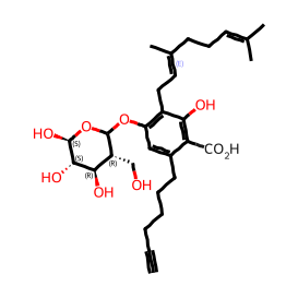 C#CCCCCc1cc(OC2O[C@H](O)[C@@H](O)[C@H](O)[C@H]2CO)c(C/C=C(\C)CCC=C(C)C)c(O)c1C(=O)O